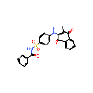 CC1=C(Nc2ccc(S(=O)(=O)NC(=O)c3ccccc3)cc2)C(=O)c2ccccc2C1=O